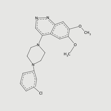 COc1cc2nncc(N3CCN(c4cccc(Cl)c4)CC3)c2cc1OC